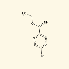 CCOC(=N)c1ncc(Br)cn1